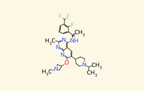 Cc1nc(N[C@H](C)c2cccc(C(F)F)c2F)c2cc(C3CCN(C(C)C)CC3)c(OC3CN(C)C3)nc2n1